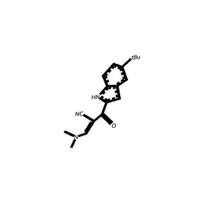 CN(C)/C=C(\C#N)C(=O)c1cc2cc(C(C)(C)C)ccc2[nH]1